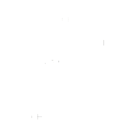 CCCCCCCCCCCCCOC(=O)CC(CCCCCCCC)CCCCCCCCCC